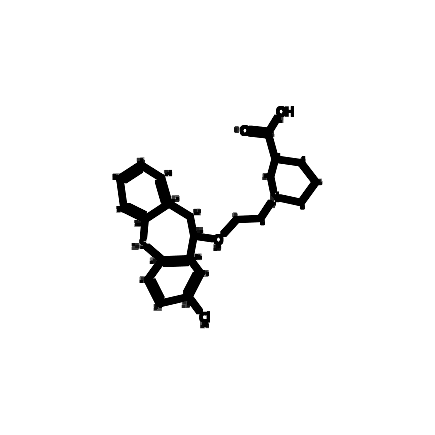 O=C(O)C1CCCN(CCOC2Cc3ccccc3Sc3ccc(Cl)cc32)C1